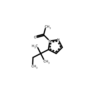 CCC(C)(C)c1ccnn1C(C)=O